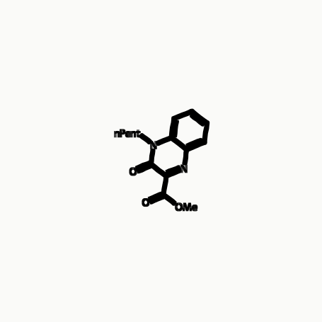 CCCCCn1c(=O)c(C(=O)OC)nc2ccccc21